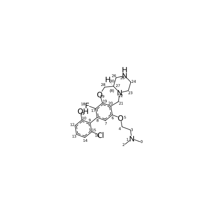 CN(C)CCOc1cc(-c2c(O)cccc2Cl)c(F)c2c1CN1CCNC[C@@H]1CO2